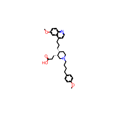 COc1ccc(CCCCN2CC[C@@H](CCCc3ccnc4ccc(OC)cc34)[C@@H](CCC(=O)O)C2)cc1